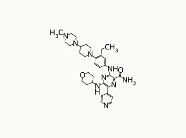 CCc1cc(Nc2nc(NC3CCOCC3)c(-c3ccncc3)nc2C(N)=O)ccc1N1CCC(N2CCN(C)CC2)CC1